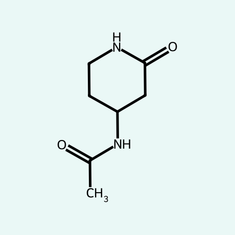 CC(=O)NC1CCNC(=O)C1